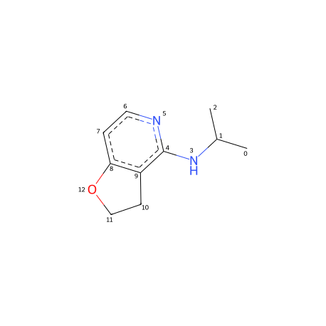 CC(C)Nc1nccc2c1CCO2